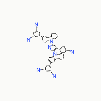 N#Cc1ccc(-c2cc(-n3c4ccccc4c4cc(-c5cc(C#N)cc(C#N)c5)ccc43)ncc2-n2c3ccccc3c3cc(-c4cc(C#N)cc(C#N)c4)ccc32)cc1